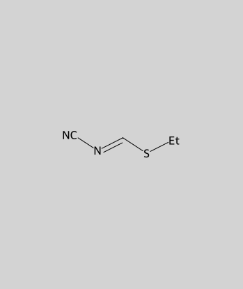 CCSC=NC#N